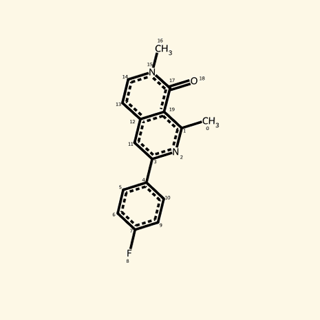 Cc1nc(-c2ccc(F)cc2)cc2ccn(C)c(=O)c12